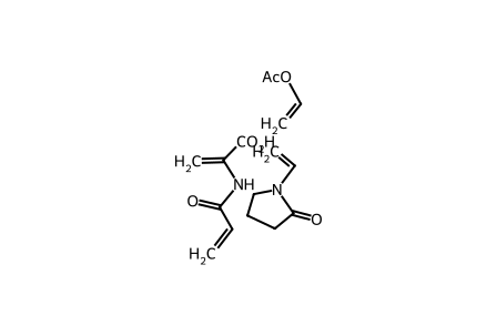 C=CC(=O)NC(=C)C(=O)O.C=CN1CCCC1=O.C=COC(C)=O